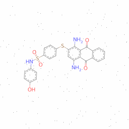 Nc1cc(Sc2ccc(S(=O)(=O)Nc3ccc(O)cc3)cc2)c(N)c2c1C(=O)c1ccccc1C2=O